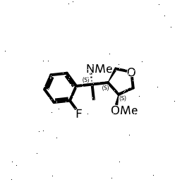 CN[C@](C)(c1ccccc1F)[C@H]1COC[C@H]1OC